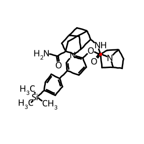 C[Si](C)(C)c1ccc(-c2ccc(OC3CC4CCC(C3)N4C(=O)NC3C4CC5CC3CC(C(N)=O)(C5)C4)nc2)cc1